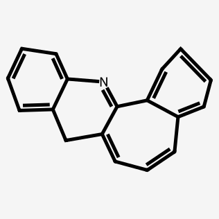 C1=Cc2ccccc2C2=Nc3ccccc3CC2=C1